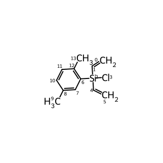 C=C[Si](Cl)(C=C)c1cc(C)ccc1C